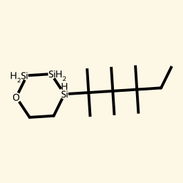 CCC(C)(C)C(C)(C)C(C)(C)[SiH]1CCO[SiH2][SiH2]1